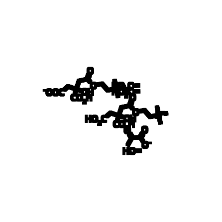 CC(=O)C(=O)[O-].CC(=O)O.CC(=O)O.CO.C[N+](C)(C)CCOC(=O)CC(O)(CC(=O)O)C(=O)O.C[N+](C)(C)CCOC(=O)CC(O)(CC(=O)[O-])C(=O)O